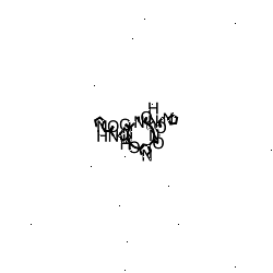 CN1C[C@H](NC(=O)CN2CCCC2)C(=O)N(C)CC(=O)N2C[C@@H](NC(=O)CN3CCCC3)C[C@H]2COc2cncc(c2)C1=O